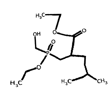 CCOC(=O)C(CC(C)C)CP(=O)(CO)OCC